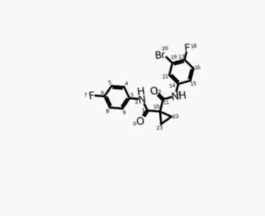 O=C(Nc1ccc(F)cc1)C1(C(=O)Nc2ccc(F)c(Br)c2)CC1